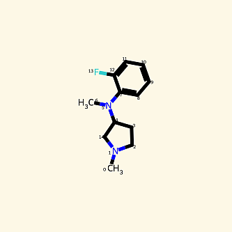 CN1CCC(N(C)c2ccccc2F)C1